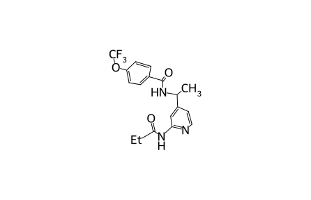 CCC(=O)Nc1cc(C(C)NC(=O)c2ccc(OC(F)(F)F)cc2)ccn1